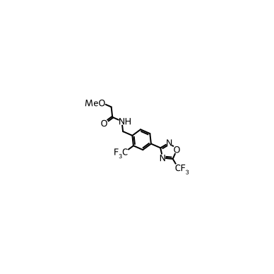 COCC(=O)NCc1ccc(-c2noc(C(F)(F)F)n2)cc1C(F)(F)F